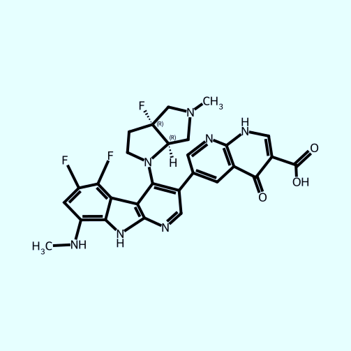 CNc1cc(F)c(F)c2c1[nH]c1ncc(-c3cnc4[nH]cc(C(=O)O)c(=O)c4c3)c(N3CC[C@@]4(F)CN(C)C[C@@H]34)c12